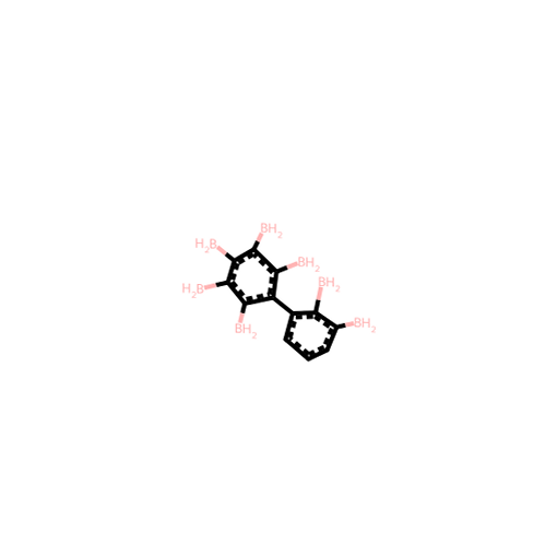 Bc1cccc(-c2c(B)c(B)c(B)c(B)c2B)c1B